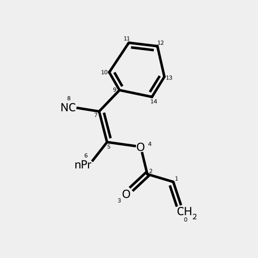 C=CC(=O)OC(CCC)=C(C#N)c1ccccc1